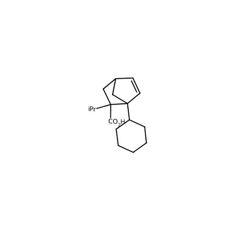 CC(C)C1(C(=O)O)CC2C=CC1(C1CCCCC1)C2